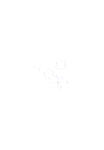 CC(C)(C)N[C@H]1CC[C@H](C(F)(F)F)C[C@@H]1N1CCCCC1